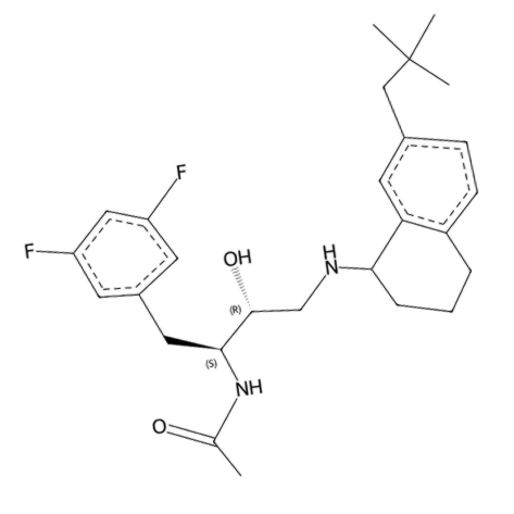 CC(=O)N[C@@H](Cc1cc(F)cc(F)c1)[C@H](O)CNC1CCCc2ccc(CC(C)(C)C)cc21